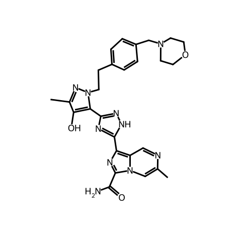 Cc1cn2c(C(N)=O)nc(-c3nc(-c4c(O)c(C)nn4CCc4ccc(CN5CCOCC5)cc4)n[nH]3)c2cn1